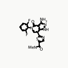 CNC(=O)c1cnc(-c2cn(-c3c(F)cccc3F)c(=O)c3c(N)n[nH]c23)s1